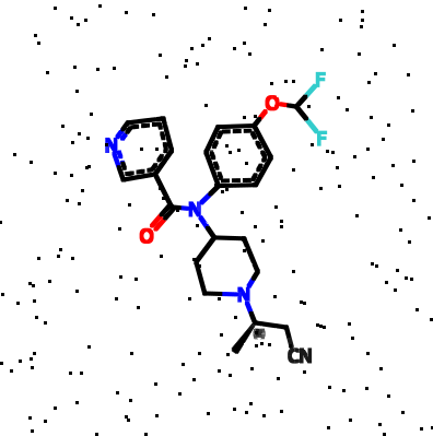 C[C@H](CC#N)N1CCC(N(C(=O)c2cccnc2)c2ccc(OC(F)F)cc2)CC1